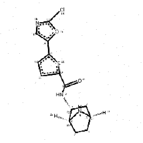 O=C(N[C@@H]1C[C@H]2CC[C@@H]1N2)c1ccc(-c2cnc(Cl)o2)s1